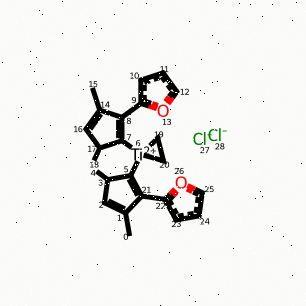 CC1=CC(C)[C]([Ti+2]2([C]3=C(c4ccco4)C(C)=CC3C)[CH2][CH2]2)=C1c1ccco1.[Cl-].[Cl-]